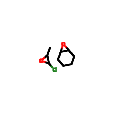 C1CCC2OC2C1.CC1OC1Cl